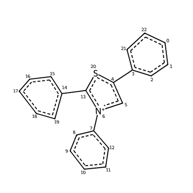 c1ccc(-c2c[n+](-c3ccccc3)c(-c3ccccc3)s2)cc1